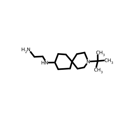 CC(C)(C)N1CCC2(CCC(NCCN)CC2)CC1